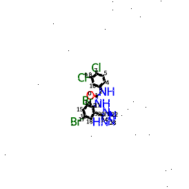 O=C(Nc1ccc(Cl)c(Cl)c1)Nc1c(Br)cc(Br)cc1-c1nnn[nH]1